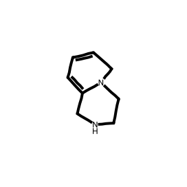 C1=CCN2CCNCC2=C1